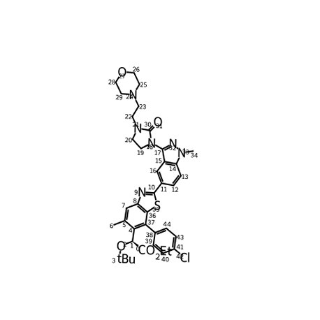 CCOC(=O)[C@@H](OC(C)(C)C)c1c(C)cc2nc(-c3ccc4c(c3)c(N3CCN(CCN5CCOCC5)C3=O)nn4C)sc2c1-c1ccc(Cl)cc1